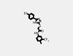 CCc1ccc(-c2nnc(SCC(=O)Nc3ccc(C)c(C(F)(F)F)c3)[nH]2)cc1